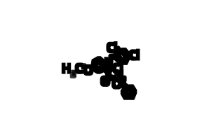 CCOc1ccc2c(c1)c(C(=O)c1ncc(-c3ccccc3)o1)c(Cl)n2Cc1ccc(Cl)cc1Cl